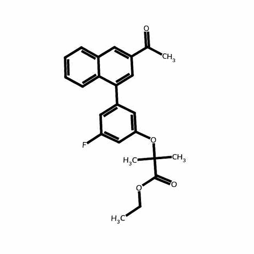 CCOC(=O)C(C)(C)Oc1cc(F)cc(-c2cc(C(C)=O)cc3ccccc23)c1